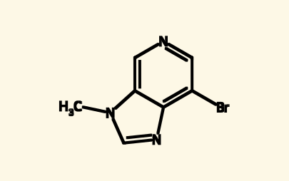 Cn1cnc2c(Br)cncc21